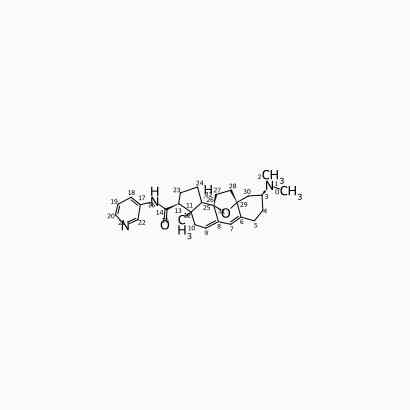 CN(C)[C@H]1CCC2=CC3=CC[C@]4(C)[C@@H](C(=O)Nc5cccnc5)CC[C@H]4[C@@]34CC[C@]2(C1)O4